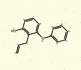 C=CCc1c(O)cccc1Oc1ccccc1